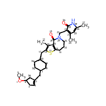 COC1CC=C(CC2CCC(Cc3sc4c(c3C)C(=O)N(Cc3c(C)cc(C)[nH]c3=O)CCC4)CC2)C1